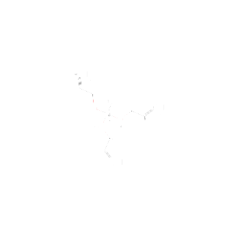 C=CCO[Si](C)(OCC=C)OCC=C